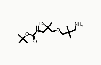 CC(C)(CN)COCC(C)(S)CNC(=O)OC(C)(C)C